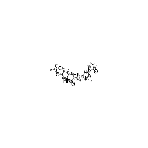 Cc1nc(N[C@@H](C)c2cc3cc(Cl)c(OC4CC4)cc3[nH]c2=O)nc(N2CCOC2=O)n1